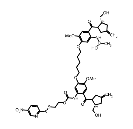 C=C1CC(C(=O)c2cc(OC)c(OCCCCCOc3cc(NC(=O)OCCSSc4ccc([N+](=O)[O-])cn4)c(C(=O)C4CC(=C)C[C@H]4CO)cc3OC)cc2NB(C)O)[C@H](CO)C1